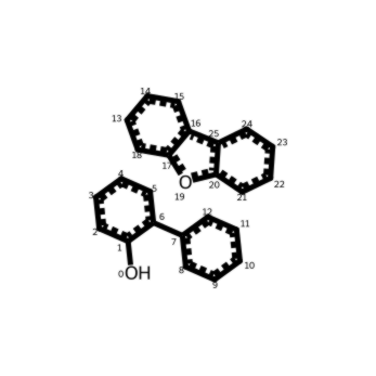 Oc1ccccc1-c1ccccc1.c1ccc2c(c1)oc1ccccc12